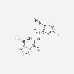 N#Cc1ccc(I)cc1C(=O)NCC(=O)N1CCCC1B(O)O